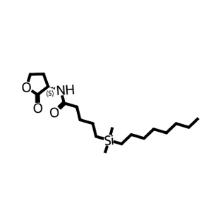 CCCCCCCC[Si](C)(C)CCCCC(=O)N[C@H]1CCOC1=O